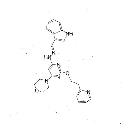 C(=NNc1cc(N2CCOCC2)nc(OCCc2ccccn2)n1)c1c[nH]c2ccccc12